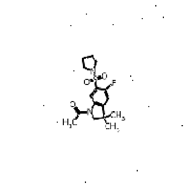 CC(=O)N1CC(C)(C)c2cc(F)c(S(=O)(=O)N3CCCC3)cc21